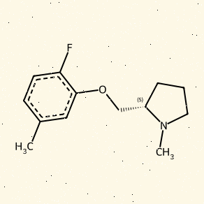 Cc1ccc(F)c(OC[C@@H]2CCCN2C)c1